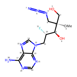 CO[C@@](CO)(CN=[N+]=[N-])[C@@H](O)[C@@H](F)Cn1cnc2c(N)ncnc21